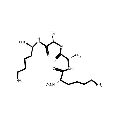 CC(=O)N[C@@H](CCCCN)C(=O)N[C@@H](C)C(=O)N[C@H](C(=O)N[C@H](C=O)CCCCN)C(C)C